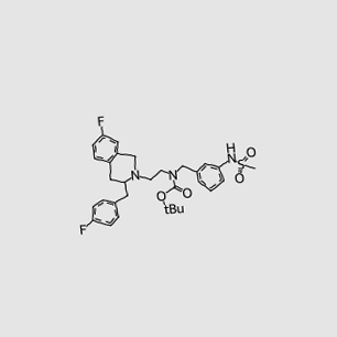 CC(C)(C)OC(=O)N(CCN1Cc2cc(F)ccc2CC1Cc1ccc(F)cc1)Cc1cccc(NS(C)(=O)=O)c1